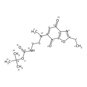 CCc1nc2c(o1)C(=O)C(N(C)CCNC(=O)OC(C)(C)C)=CC2=O